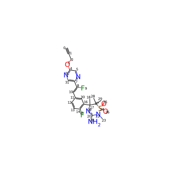 C#CCOc1cnc(C(F)=Cc2ccc(F)c(C3(C)N=C(N)N(C)S(=O)(=O)C3(C)C)c2)cn1